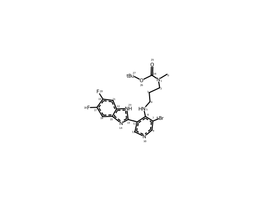 CN(CCCNc1c(Br)cncc1-c1nc2cc(F)c(F)cc2[nH]1)C(=O)OC(C)(C)C